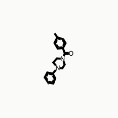 Cc1ccc(C(=O)N2CCN(c3cc[c]cc3)CC2)cc1